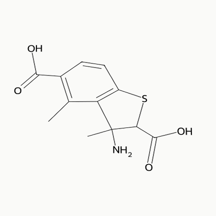 Cc1c(C(=O)O)ccc2c1C(C)(N)C(C(=O)O)S2